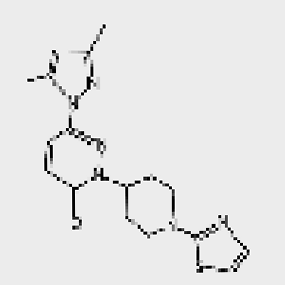 Cc1cc(C)n(-c2ccc(=O)n(C3CCN(c4nccs4)CC3)n2)n1